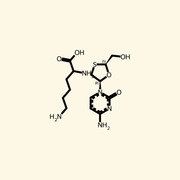 NCCCCC(N)C(=O)O.Nc1ccn([C@H]2CS[C@@H](CO)O2)c(=O)n1